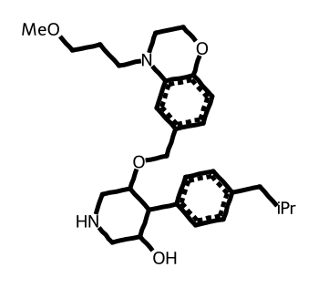 COCCCN1CCOc2ccc(COC3CNCC(O)C3c3ccc(CC(C)C)cc3)cc21